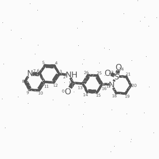 O=C(Nc1ccc2ncccc2c1)c1ccc(N2CCCCS2(=O)=O)cc1